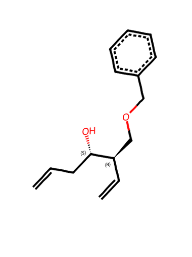 C=CC[C@H](O)[C@H](C=C)COCc1ccccc1